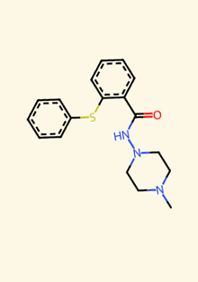 CN1CCN(NC(=O)c2ccccc2Sc2ccccc2)CC1